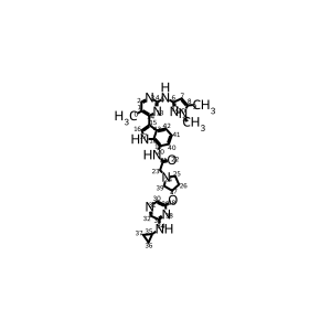 Cc1cnc(Nc2cc(C)n(C)n2)nc1-c1c[nH]c2c(NC(=O)CN3CC[C@H](Oc4cncc(NC5CC5)n4)C3)cccc12